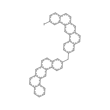 Ic1ccc2ccc3cc4ccc5cc(Cc6ccc7c(ccc8cc9ccc%10ccccc%10c9cc87)c6)ccc5c4cc3c2c1